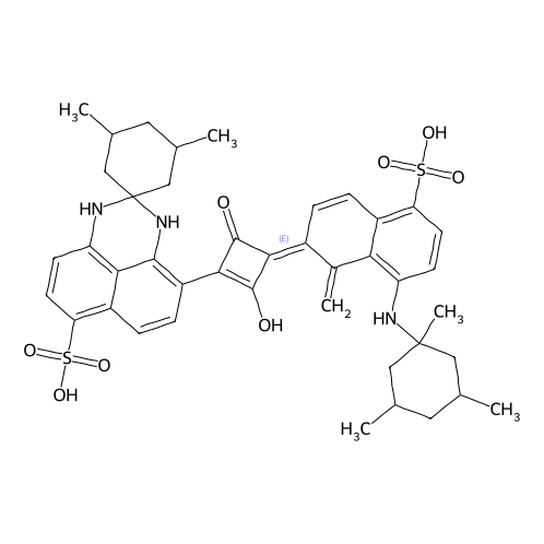 C=c1/c(=C2/C(=O)C(c3ccc4c(S(=O)(=O)O)ccc5c4c3NC3(CC(C)CC(C)C3)N5)=C2O)ccc2c(S(=O)(=O)O)ccc(NC3(C)CC(C)CC(C)C3)c12